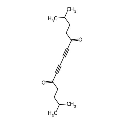 CC(C)CCC(=O)C#CC#CC(=O)CCC(C)C